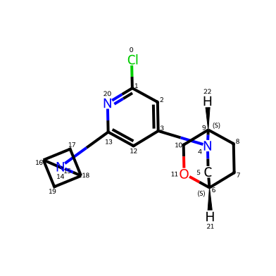 Clc1cc(N2C[C@@H]3CC[C@H]2CO3)cc(N2CC3CC2C3)n1